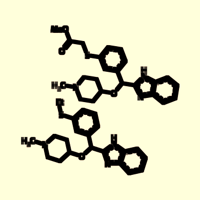 CCSc1cccc(C(OC2CCN(C)CC2)c2nc3ccccc3[nH]2)c1.COC(=O)CSc1cccc(C(OC2CCN(C)CC2)c2nc3ccccc3[nH]2)c1